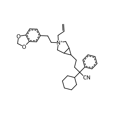 C=CC[N+]1(CCc2ccc3c(c2)OCO3)CC2C(CCC(C#N)(c3ccccc3)C3CCCCC3)C2C1